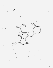 Cc1c[nH]c2c(CN3CCC[C@H](C)C3)cc(C(N)=O)nc12